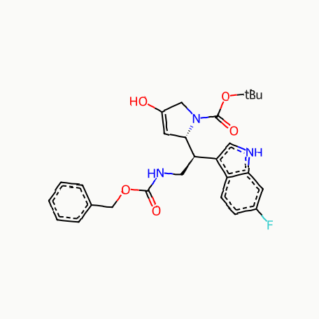 CC(C)(C)OC(=O)N1CC(O)=C[C@H]1[C@H](CNC(=O)OCc1ccccc1)c1c[nH]c2cc(F)ccc12